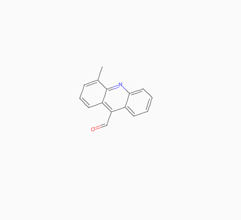 Cc1cccc2c(C=O)c3ccccc3nc12